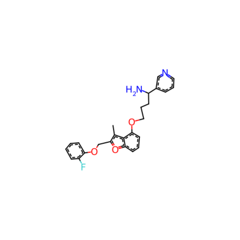 Cc1c(COc2ccccc2F)oc2cccc(OCCCC(N)c3cccnc3)c12